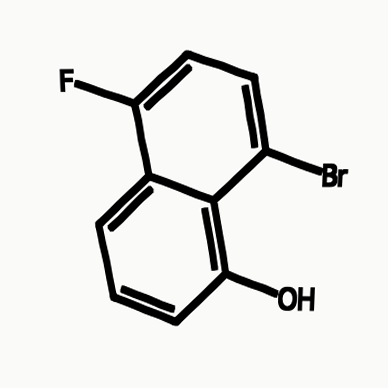 Oc1cccc2c(F)ccc(Br)c12